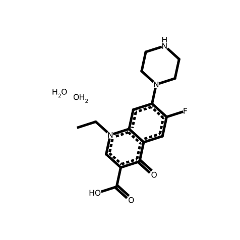 CCn1cc(C(=O)O)c(=O)c2cc(F)c(N3CCNCC3)cc21.O.O